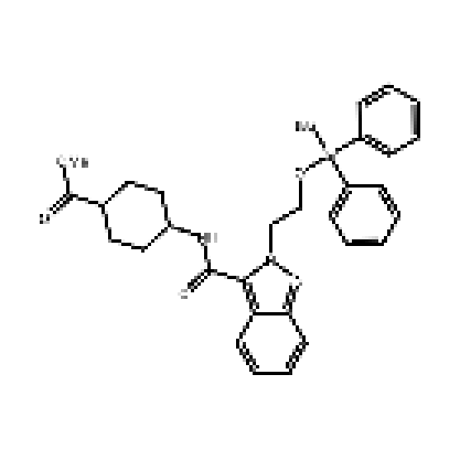 COC(=O)C1CCC(NC(=O)c2c3ccccc3nn2CCO[Si](c2ccccc2)(c2ccccc2)C(C)(C)C)CC1